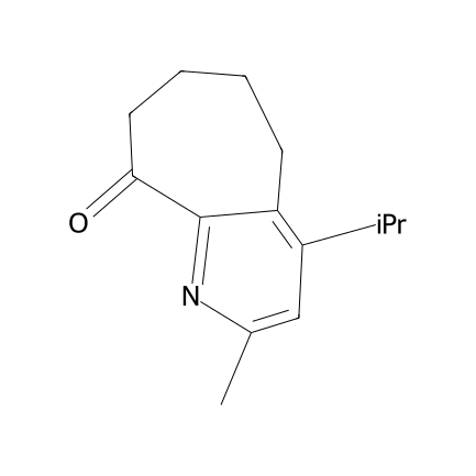 Cc1cc(C(C)C)c2c(n1)C(=O)CCCC2